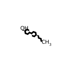 CCCCC[C@H]1CC[C@H]([C@H]2CC[C@H](CO)CC2)CC1